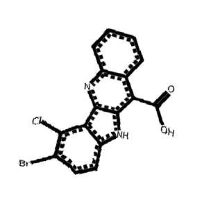 O=C(O)c1c2ccccc2nc2c1[nH]c1ccc(Br)c(Cl)c12